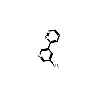 Cc1cncc(-c2cccnn2)c1